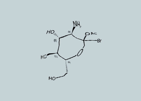 CC(=O)OC1(Br)O[C@H](CO)[C@@H](O)[C@H](O)[C@H]1N